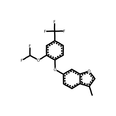 Cc1coc2cc(Oc3ccc(C(F)(F)F)cc3OC(F)F)ccc12